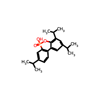 CC(C)c1cc2c(c(C(C)C)c1)OP(=O)(O)c1cc(C(C)C)ccc1-2